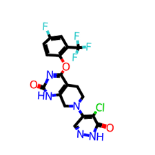 O=c1nc(Oc2ccc(F)cc2C(F)(F)F)c2c([nH]1)CN(c1cn[nH]c(=O)c1Cl)CC2